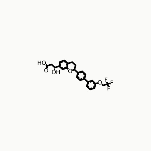 O=C(O)C[C@@H](O)c1ccc2c(c1)OC(c1ccc(-c3cccc(OCC(F)(F)F)c3)cc1)CC2